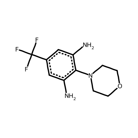 Nc1cc(C(F)(F)F)cc(N)c1N1CCOCC1